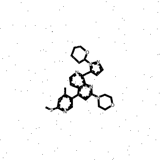 CSc1cc(C)c(-c2cc(N3CCOCC3)nc3c(-c4ccnn4C4CCCCO4)nccc23)cn1